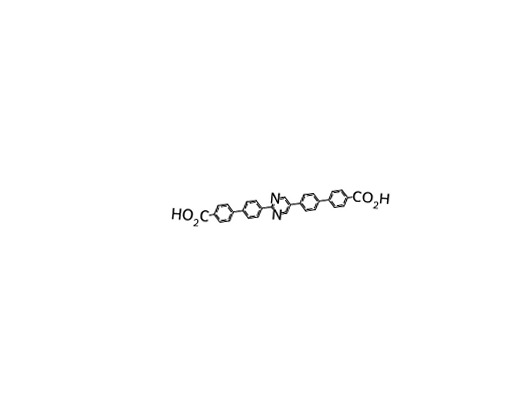 O=C(O)c1ccc(-c2ccc(-c3cnc(-c4ccc(-c5ccc(C(=O)O)cc5)cc4)nc3)cc2)cc1